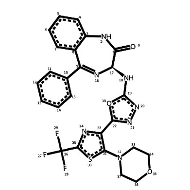 O=C1Nc2ccccc2C(c2ccccc2)=N[C@@H]1Nc1nnc(-c2nc(C(F)(F)F)sc2N2CCOCC2)o1